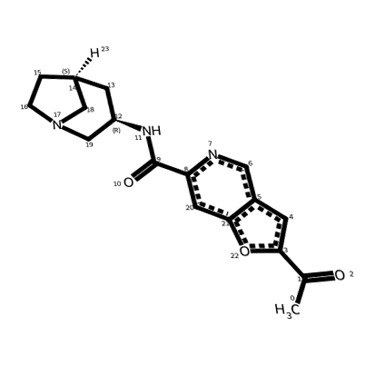 CC(=O)c1cc2cnc(C(=O)N[C@@H]3C[C@@H]4CCN(C4)C3)cc2o1